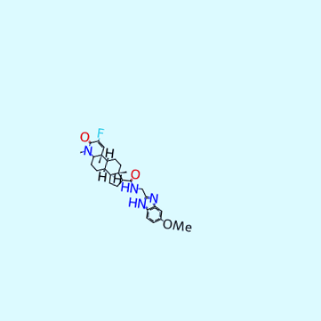 COc1ccc2[nH]c(CNC(=O)C3CC[C@H]4[C@@H]5CCC6N(C)C(=O)C(F)=C[C@]6(C)[C@@H]5CC[C@]34C)nc2c1